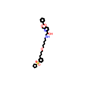 O=S(=O)(c1cccc(CCCCOCCCCCCNCC(O)c2ccc3c(n2)COC(c2ccccc2)O3)c1)C1CCCC1